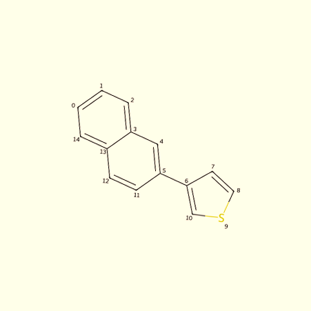 c1ccc2cc(-c3ccsc3)ccc2c1